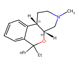 CCCC1(CC)O[C@H]2CN(C)CC[C@H]2c2ccccc21